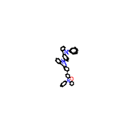 c1ccc(N2c3ccccc3Oc3cc(-c4ccc5c(c4)c4ccccc4n5-c4ccc5c(c4)c4ccccc4n5-c4ccccc4)ccc32)cc1